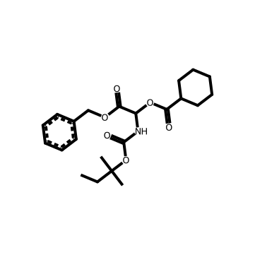 CCC(C)(C)OC(=O)NC(OC(=O)C1CCCCC1)C(=O)OCc1ccccc1